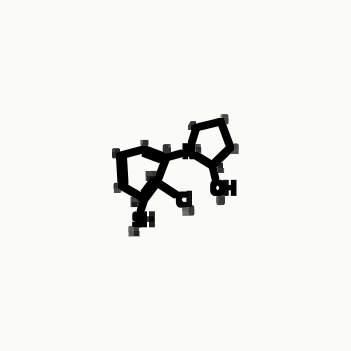 OC1CCCN1c1cccc(S)c1Cl